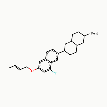 CC=CCOc1cc(F)c2cc(C3CCC4CC(CCCCC)CCC4C3)ccc2c1